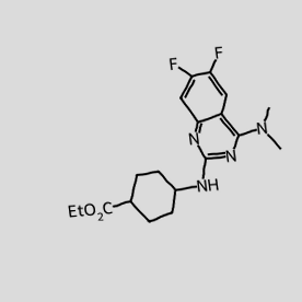 CCOC(=O)C1CCC(Nc2nc(N(C)C)c3cc(F)c(F)cc3n2)CC1